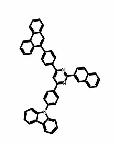 c1ccc2cc(-c3nc(-c4ccc(-c5cc6ccccc6c6ccccc56)cc4)cc(-c4ccc(-n5c6ccccc6c6ccccc65)cc4)n3)ccc2c1